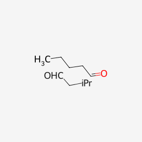 CC(C)CC=O.CCCCC=O